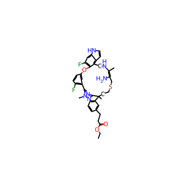 CCOC(=O)CCc1cccc(C2(C)CCSC/C(N)=C(\C)NCc3c(c(F)cc4[nH]ccc34)Oc3ccc(F)c(c3)-c3nc2nn3C)c1